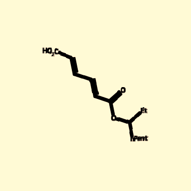 CCCCCC(CC)OC(=O)C=CC=CC(=O)O